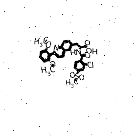 COc1cccc(OC)c1-c1ccc2cc(CC(NC(=O)c3ccc(S(C)(=O)=O)cc3Cl)C(=O)O)ccc2n1